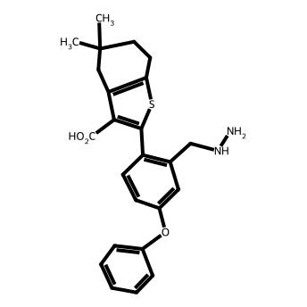 CC1(C)CCc2sc(-c3ccc(Oc4ccccc4)cc3CNN)c(C(=O)O)c2C1